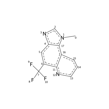 Cn1cnc2cc(C(F)(F)F)c3ncccc3c21